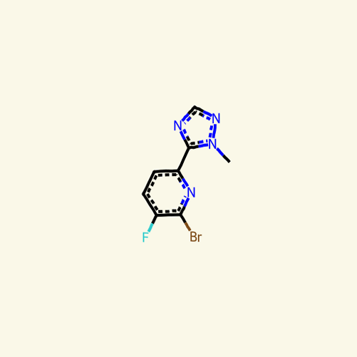 Cn1ncnc1-c1ccc(F)c(Br)n1